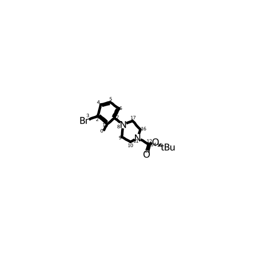 Cc1c(Br)cccc1N1CCN(C(=O)OC(C)(C)C)CC1